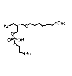 CCCCCCCCCCCCCCCCOC[C@H](COP(=O)(O)OCCC(C)(C)C)CC(C)=O